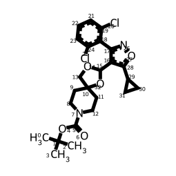 CC(C)(C)OC(=O)N1CCC2(CC1)COC(c1c(-c3c(Cl)cccc3Cl)noc1C1CC1)O2